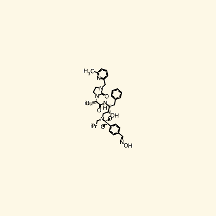 CC[C@H](C)[C@@H](C(=O)N[C@@H](Cc1ccccc1)[C@@H](O)CN(CC(C)C)S(=O)(=O)c1ccc(C=NO)cc1)N1CCN(Cc2cccc(C)n2)C1=O